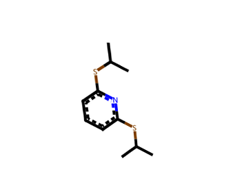 CC(C)Sc1[c]ccc(SC(C)C)n1